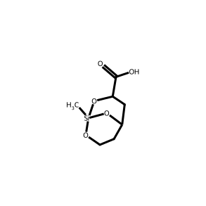 C[Si]12OCCC(CC(C(=O)O)O1)O2